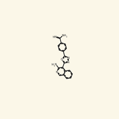 N=C(N)c1ccc(-c2nnc(-c3c(N)ncc4ccccc34)o2)cc1